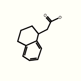 [O]C(=O)CC1CCCc2ccccc21